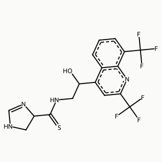 OC(CNC(=S)C1CNC=N1)c1cc(C(F)(F)F)nc2c(C(F)(F)F)cccc12